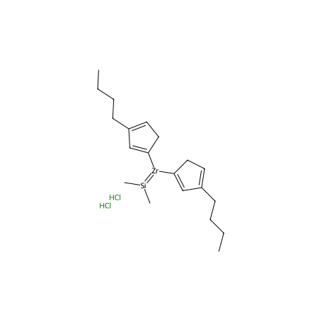 CCCCC1=CC[C]([Zr]([C]2=CC(CCCC)=CC2)=[Si](C)C)=C1.Cl.Cl